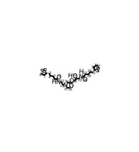 O=C(CCCC[C@@H]1CCSS1)NCCN1CCOC(OCC(O)CNC(=O)CCCC[C@@H]2CCSS2)C1